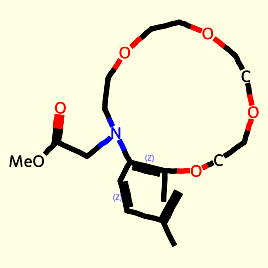 C=C(C)/C=C\C1=C(/C)OCCOCCOCCOCCN1CC(=O)OC